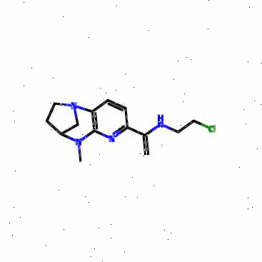 C=C(NCCCl)c1ccc2c(n1)N(C)C1CCN2C1